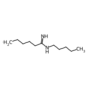 [CH2]CCCCC(=N)NCCCCC